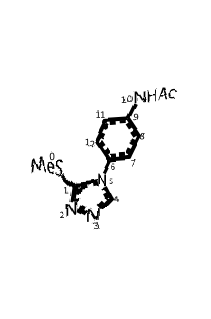 CSc1nncn1-c1ccc(NC(C)=O)cc1